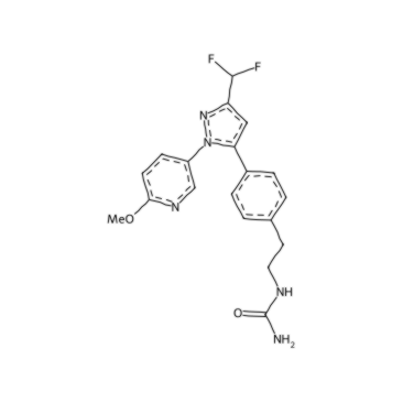 COc1ccc(-n2nc(C(F)F)cc2-c2ccc(CCNC(N)=O)cc2)cn1